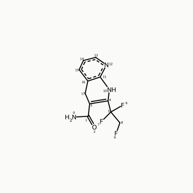 NC(=O)C1=C(C(F)(F)CF)Nc2ncccc2C1